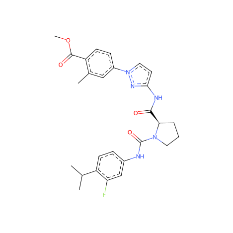 COC(=O)c1ccc(-n2ccc(NC(=O)[C@H]3CCCN3C(=O)Nc3ccc(C(C)C)c(F)c3)n2)cc1C